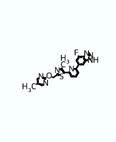 Cc1cnc(OCc2nc(C)c(-c3cccc(-c4cc(F)c5nn[nH]c5c4)n3)s2)nc1